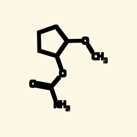 COC1CCCC1OC(N)=O